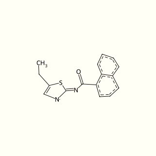 CCC1=C[N]C(=NC(=O)c2cccc3ccccc23)S1